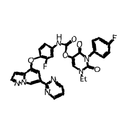 CCn1cc(OC(=O)Nc2ccc(Oc3cc(-c4ncccn4)cn4nccc34)c(F)c2)c(=O)n(-c2ccc(F)cc2)c1=O